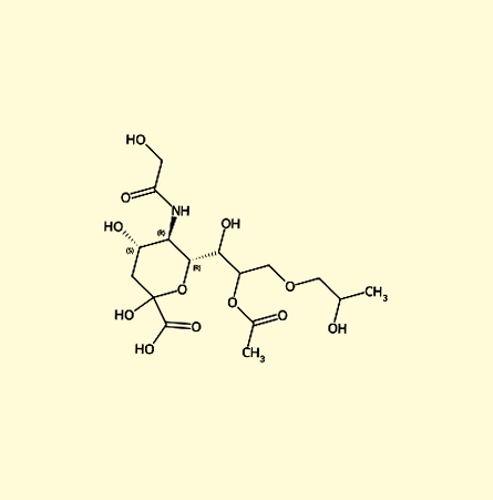 CC(=O)OC(COCC(C)O)C(O)[C@@H]1OC(O)(C(=O)O)C[C@H](O)[C@H]1NC(=O)CO